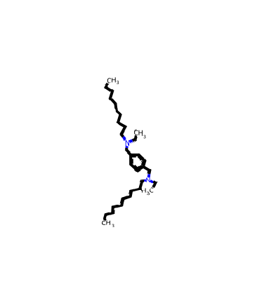 CCCCCCCCCCN(CC)Cc1ccc(CN(CC)CCCCCCCCCC)cc1